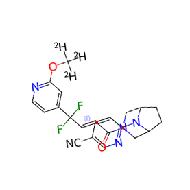 [2H]C([2H])([2H])Oc1cc(C(F)(F)/C=C/C(=O)N2CC3CCC(C2)N3c2ccc(C#N)cn2)ccn1